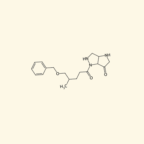 CC(CCC(=O)N1NCC2NCC(=O)C21)COCc1ccccc1